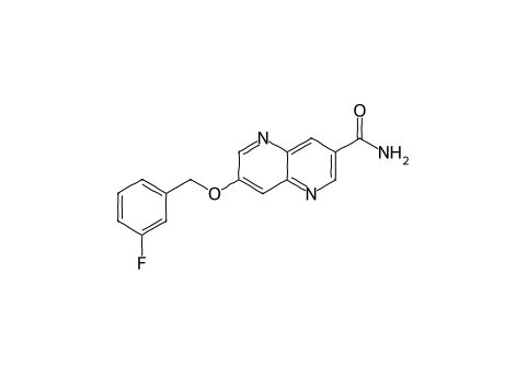 NC(=O)c1cnc2cc(OCc3cccc(F)c3)cnc2c1